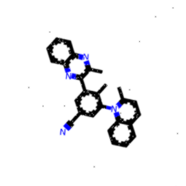 Cc1nc2ccccc2nc1-c1cc(C#N)cc(-[n+]2c(C)ccc3ccccc32)c1C